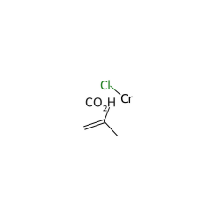 C=C(C)C(=O)O.[Cl][Cr]